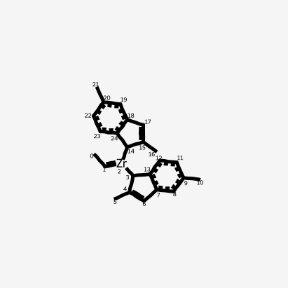 C[CH]=[Zr]([CH]1C(C)=Cc2cc(C)ccc21)[CH]1C(C)=Cc2cc(C)ccc21